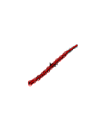 CCCCCCCCCCCCCCCCCCOCCOCCOCCOCCOCCOCCOCCOCCOCCOCCOCCOCCOCCOCCOCCOCCOCCOCCOCCOCCOCC(=O)[O-].[Na+]